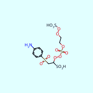 Nc1ccc(S(=O)(=O)CC(OOS(=O)(=O)OCCOOS(=O)(=O)O)S(=O)(=O)O)cc1